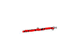 CCCCCCCCC=CCCCCCCCCCC(=O)OCCCCCCCCCCCCCCCCCC(=O)O